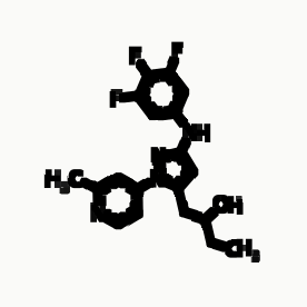 CCC(O)Cc1cc(Nc2cc(F)c(F)c(F)c2)nn1-c1ccnc(C)c1